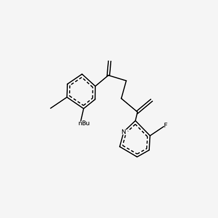 C=C(CCC(=C)c1ncccc1F)c1ccc(C)c(CCCC)c1